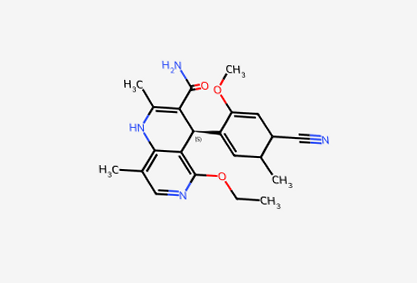 CCOc1ncc(C)c2c1[C@H](C1=CC(C)C(C#N)C=C1OC)C(C(N)=O)=C(C)N2